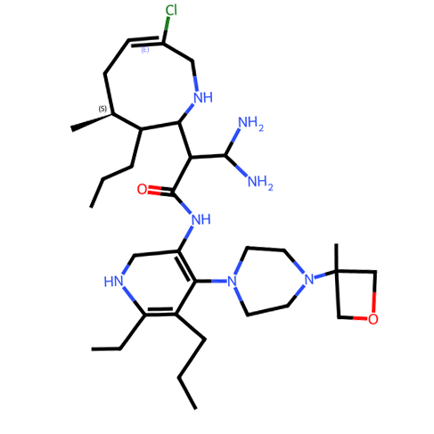 CCCC1=C(CC)NCC(NC(=O)C(C(N)N)C2NC/C(Cl)=C\C[C@H](C)C2CCC)=C1N1CCN(C2(C)COC2)CC1